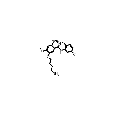 [CH2]c1ccc(Cl)cc1Nc1ncnc2cc(OC)c(OCCCCN)cc12